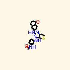 CC(=O)Nc1cccc(Nc2nc(Nc3ccc4c(c3)CCCC4=O)nc3c2CSCC3)c1